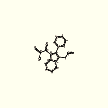 COCc1c(-c2ccccc2)c(C(=O)C(=O)Cl)n2ccccc12